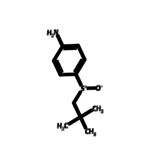 CC(C)(C)C[S+]([O-])c1ccc(N)cc1